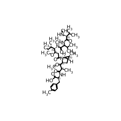 CC[C@H](C)[C@@H]([C@@H](CC(=O)N1[C@H]2[C@@H](C)[C@H]2C[C@H]1[C@H](OC)[C@@H](C)C(=O)N[C@@H](Cc1ccc(C)cc1)C(=O)O)OC)N(C)C(=O)[C@@H](NC(=O)[C@@H](NC)C(C)C)C(C)C